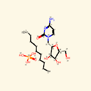 CCCCCCCCCCCCCCCCC[CH2][Na].Nc1ccn(C[C@@H]2O[C@H](CO)[C@@H](O)[C@H]2O)c(=O)n1.O=P(O)(O)O